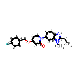 Cn1c(CC(F)(F)F)nc2ccc(-n3ccc(OCc4ccc(F)cc4)cc3=O)cc21